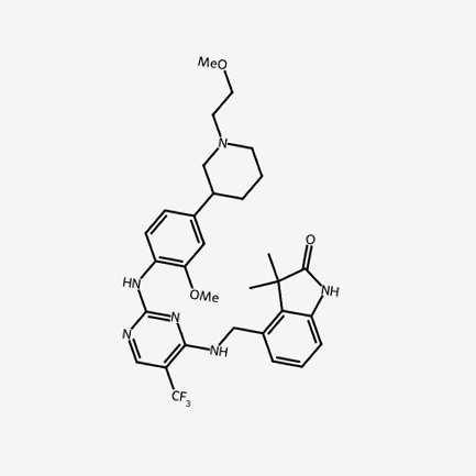 COCCN1CCCC(c2ccc(Nc3ncc(C(F)(F)F)c(NCc4cccc5c4C(C)(C)C(=O)N5)n3)c(OC)c2)C1